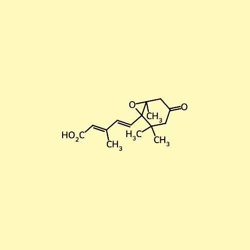 CC(/C=C/C12OC1(C)CC(=O)CC2(C)C)=C\C(=O)O